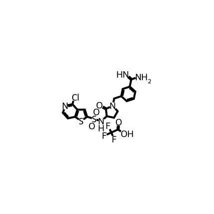 N=C(N)c1cccc(CN2CCC(NS(=O)(=O)c3cc4c(Cl)nccc4s3)C2=O)c1.O=C(O)C(F)(F)F